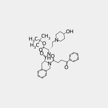 CC(C)(C)OC(=O)[C@H](CCN1CCC(O)CC1)NC(=O)[C@@H]1Cc2ccccc2CN1C(=O)CCC(=O)c1ccccc1